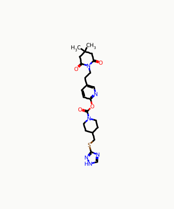 CC1(C)CC(=O)N(CCc2ccc(OC(=O)N3CCC(CSc4nc[nH]n4)CC3)nc2)C(=O)C1